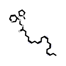 CC/C=C\C/C=C\C/C=C\C/C=C\C/C=C\CCCC(=O)OCOC1([C@@H]2CCCN2C)C=CC=NC1